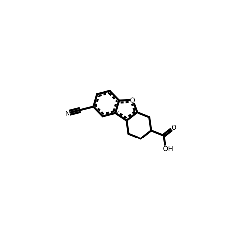 N#Cc1ccc2oc3c(c2c1)CCC(C(=O)O)C3